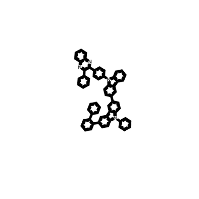 c1ccc(-c2ccccc2-c2ccc3c(c2)c2cc(-c4ccc5c(c4)c4ccccc4n5-c4ccc(-c5nc6ccccc6nc5-c5ccccc5)cc4)ccc2n3-c2ccccc2)cc1